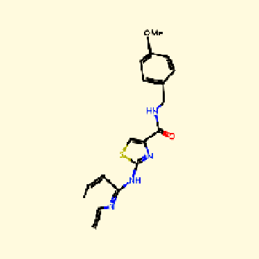 C=C/N=C(\C=C/C)Nc1nc(C(=O)NCc2ccc(OC)cc2)cs1